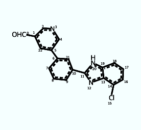 O=Cc1cncc(-c2cccc(-c3nc4c(Cl)cccc4[nH]3)c2)c1